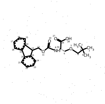 CC(C)(C)COC[C@H](NC(=O)OCC1c2ccccc2-c2ccccc21)C(=O)O